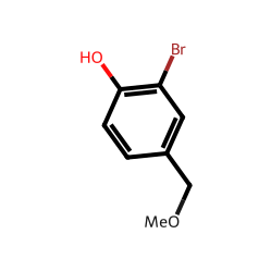 COCc1ccc(O)c(Br)c1